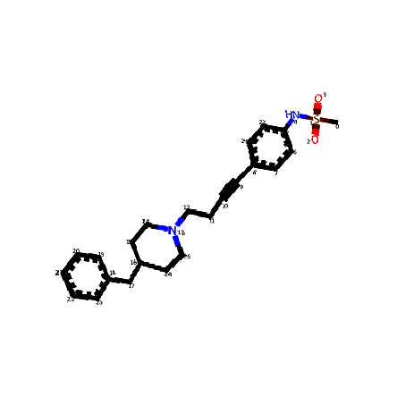 CS(=O)(=O)Nc1ccc(C#CCCN2CCC(Cc3ccccc3)CC2)cc1